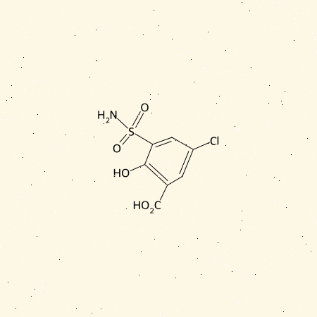 NS(=O)(=O)c1cc(Cl)cc(C(=O)O)c1O